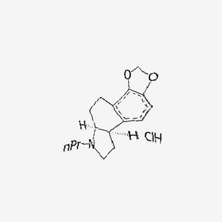 CCCN1CC[C@@H]2c3ccc4c(c3CC[C@@H]21)OCO4.Cl